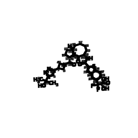 CC(C)(O)c1cn(C2CN(C(=O)[C@@H]3CC[C@@H]4CCCC[C@H](NC(=O)c5cc6cc(C(F)(F)P(=O)(O)O)ccc6s5)C(=O)N43)C2)nn1